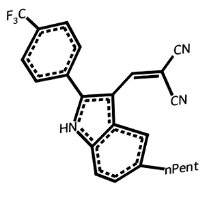 CCCCCc1ccc2[nH]c(-c3ccc(C(F)(F)F)cc3)c(C=C(C#N)C#N)c2c1